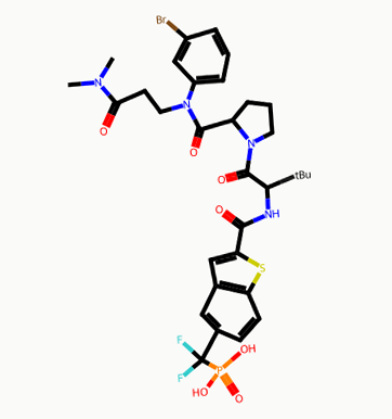 CN(C)C(=O)CCN(C(=O)C1CCCN1C(=O)C(NC(=O)c1cc2cc(C(F)(F)P(=O)(O)O)ccc2s1)C(C)(C)C)c1cccc(Br)c1